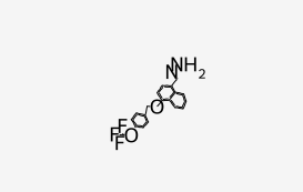 NN=Cc1ccc(OCc2ccc(OC(F)(F)F)cc2)c2ccccc12